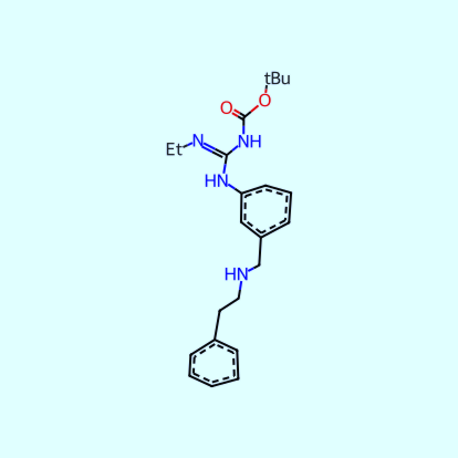 CC/N=C(/NC(=O)OC(C)(C)C)Nc1cccc(CNCCc2ccccc2)c1